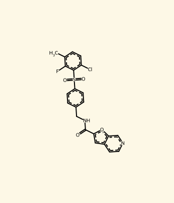 Cc1ccc(Cl)c(S(=O)(=O)c2ccc(CNC(=O)c3cc4ccncc4o3)cc2)c1F